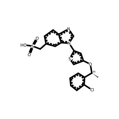 C[C@@H](Oc1csc(-n2cnc3ccc(CS(=O)(=O)O)cc32)c1)c1ccccc1Cl